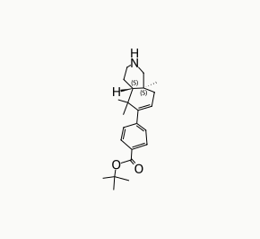 CC(C)(C)OC(=O)c1ccc(C2=CC[C@]3(C)CNCC[C@H]3C2(C)C)cc1